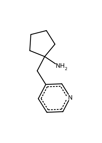 NC1(Cc2cccnc2)CCCC1